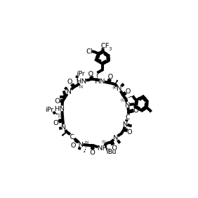 CC[C@H](C)[C@@H]1NC(=O)[C@H](C)N(C)C(=O)C[C@@H](C)N(C)C(=O)[C@H](CC(C)C)NC(=O)C(C)(C)N(C)C(=O)[C@H](CC(C)C)NC(=O)[C@H](CCc2ccc(C(F)(F)F)c(Cl)c2)NC(=O)[C@@H](C)N(C)C(=O)[C@H](Cc2ccc(C)cc2)N(C)C(=O)CN(C)C(=O)CN(C)C1=O